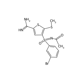 CSc1sc(C(=N)N)cc1S(=O)(=NC(C)=O)c1cccc(Br)c1